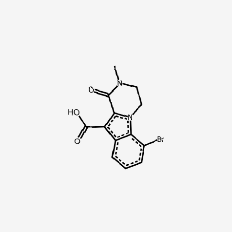 CN1CCn2c(c(C(=O)O)c3cccc(Br)c32)C1=O